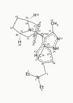 CCN(CC)Cc1ccc(O[C@@H]2C[C@H]3CC[C@@H](C2)N3S(=O)(=O)c2c(C)n[nH]c2C)cc1